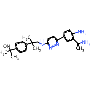 C=C(N)c1cc(-c2ccc(NCC(C)(C)c3ccc(C(C)(C)N=O)cc3)nn2)ccc1N